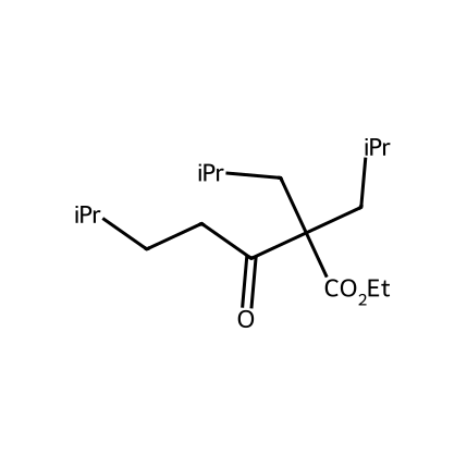 CCOC(=O)C(CC(C)C)(CC(C)C)C(=O)CCC(C)C